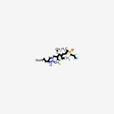 C=C=C(/C(C=C)=C/C=C(\C)[S+]([O-])CCCF)C(CF)CN1CC(CCNC)NN1C